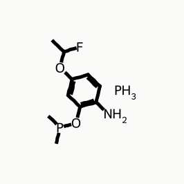 CC(F)Oc1ccc(N)c(OP(C)C)c1.P